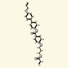 C=CCOc1ccc(-c2ccc(OC(=O)c3ccc(OCCCOC(=O)C=C)cc3)cc2)cc1